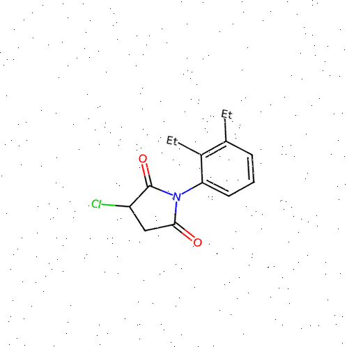 CCc1cccc(N2C(=O)CC(Cl)C2=O)c1CC